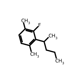 CCCC(C)c1c(C)ccc(C)c1F